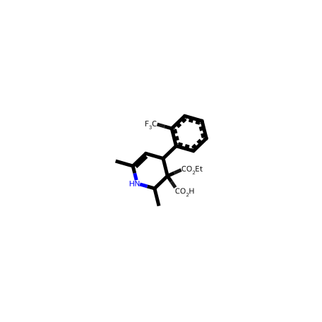 CCOC(=O)C1(C(=O)O)C(C)NC(C)=CC1c1ccccc1C(F)(F)F